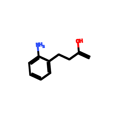 C=C(O)CCc1ccccc1N